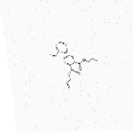 C=CCOC(=O)c1ccccc1C(=O)OCC=C.C=Cc1ccccc1